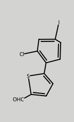 O=Cc1ccc(-c2ccc(I)cc2Cl)s1